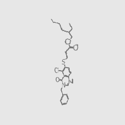 CCCCC(CC)COC(=O)CCSc1ccc2ncn(Cc3ccccc3)c(=O)c2c1Cl